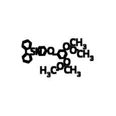 CCOC(C)Oc1cc(COc2ccc([SH]3c4ccccc4-c4ccccc43)cc2)cc(OC(C)OCC)c1